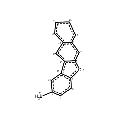 Bc1ccc2oc3cc4ccccc4cc3c2c1